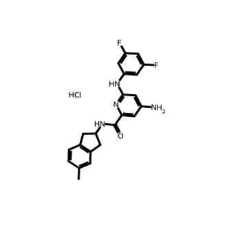 Cc1ccc2c(c1)CC(NC(=O)c1cc(N)cc(Nc3cc(F)cc(F)c3)n1)C2.Cl